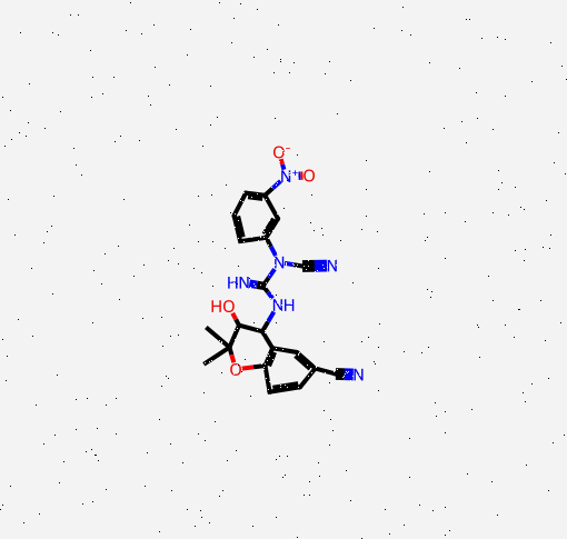 CC1(C)Oc2ccc(C#N)cc2C(NC(=N)N(C#N)c2cccc([N+](=O)[O-])c2)C1O